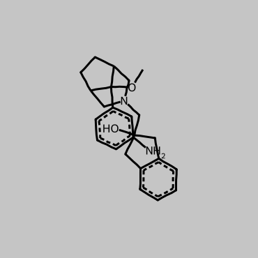 COC1(c2cccc(N)c2)C2CCC1CN(CC1(O)Cc3ccccc3C1)C2